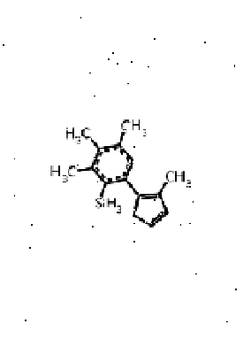 CC1=C(c2cc(C)c(C)c(C)c2[SiH3])CC=C1